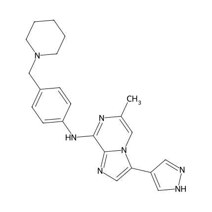 Cc1cn2c(-c3cn[nH]c3)cnc2c(Nc2ccc(CN3CCCCC3)cc2)n1